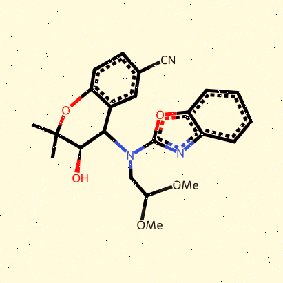 COC(CN(c1nc2ccccc2o1)C1c2cc(C#N)ccc2OC(C)(C)[C@@H]1O)OC